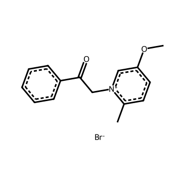 COc1ccc(C)[n+](CC(=O)c2ccccc2)c1.[Br-]